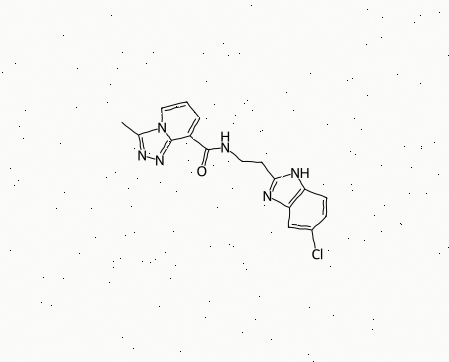 Cc1nnc2c(C(=O)NCCc3nc4cc(Cl)ccc4[nH]3)cccn12